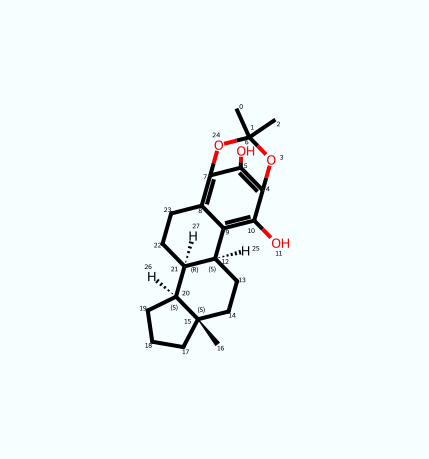 CC1(C)Oc2c(O)c(c3c(c2O)[C@H]2CC[C@]4(C)CCC[C@H]4[C@H]2CC3)O1